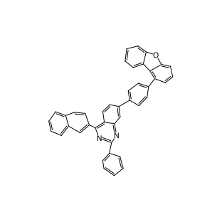 c1ccc(-c2nc(-c3ccc4ccccc4c3)c3ccc(-c4ccc(-c5cccc6oc7ccccc7c56)cc4)cc3n2)cc1